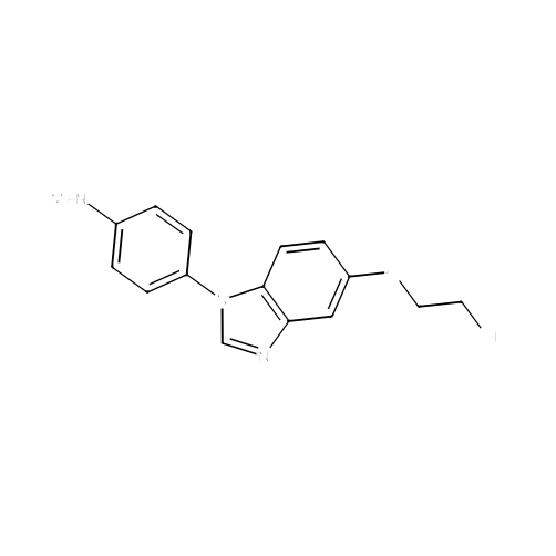 CNc1ccc(-n2cnc3cc(OCCO)ccc32)cc1